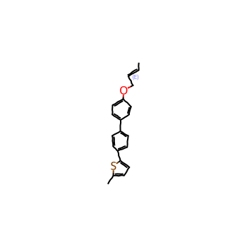 C/C=C/COc1ccc(-c2ccc(-c3ccc(C)s3)cc2)cc1